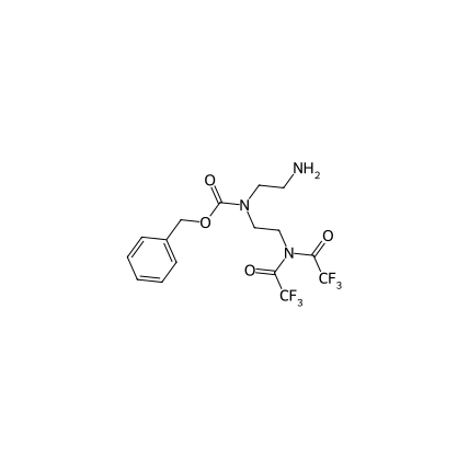 NCCN(CCN(C(=O)C(F)(F)F)C(=O)C(F)(F)F)C(=O)OCc1ccccc1